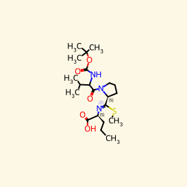 CCC[C@H](/N=C(\SC)[C@@H]1CCCN1C(=O)C(NC(=O)OC(C)(C)C)C(C)C)C(=O)O